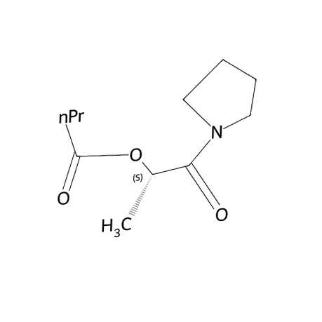 CCCC(=O)O[C@@H](C)C(=O)N1CCCC1